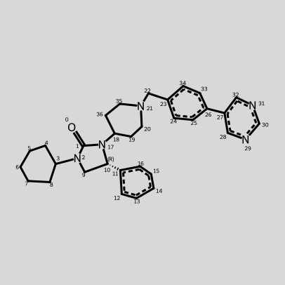 O=C1N(C2CCCCC2)C[C@@H](c2ccccc2)N1C1CCN(Cc2ccc(-c3cncnc3)cc2)CC1